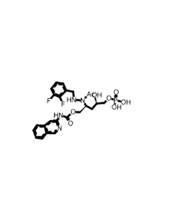 CC(=O)N(NCc1cccc(F)c1F)[C@H](COC(=O)Nc1cc2ccccc2cn1)C[C@@H](O)COP(=O)(O)O